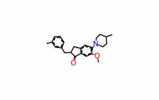 COc1cc2c(cc1N1CCC(C)CC1)CC(Cc1cccc(C)c1)C2=O